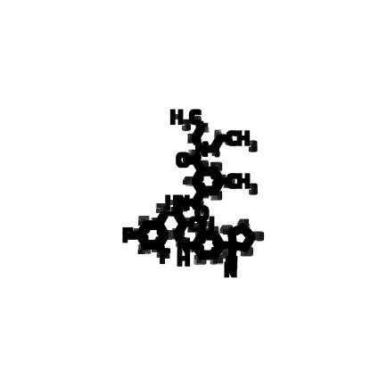 CCCN(CCC)C(=O)c1cc(C)cc(C(=O)N[C@@H](Cc2cc(F)cc(F)c2)[C@H](O)CNc2ccc(C3(C#N)CCCC3)cc2)c1